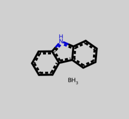 B.c1ccc2c(c1)[nH]c1ccccc12